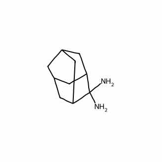 NC1(N)C2CC3CC(C2)CC1C3